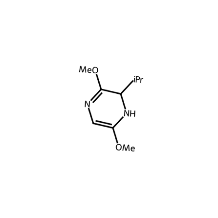 COC1=CN=C(OC)C(C(C)C)N1